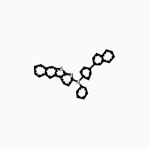 c1ccc(N(c2ccc(-c3ccc4ccccc4c3)cc2)c2ccc3c(n2)sc2cc4ccccc4cc23)cc1